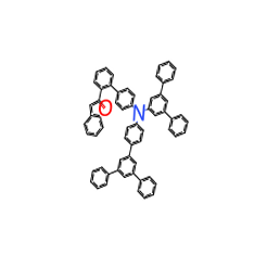 c1ccc(-c2cc(-c3ccccc3)cc(-c3ccc(N(c4ccc(-c5ccccc5-c5cc6ccccc6o5)cc4)c4cc(-c5ccccc5)cc(-c5ccccc5)c4)cc3)c2)cc1